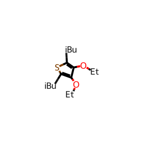 CCOc1c(C(C)CC)sc(C(C)CC)c1OCC